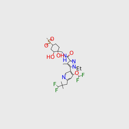 CCn1nc(C(=O)NCC2(O)CCC(S(C)(=O)=O)C[C@@H]2O)c(C)c1-c1cnc(CC(C)(C)C(F)F)cc1OC(F)F